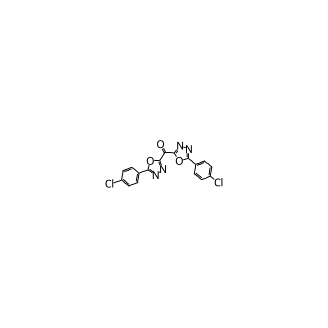 O=C(c1nnc(-c2ccc(Cl)cc2)o1)c1nnc(-c2ccc(Cl)cc2)o1